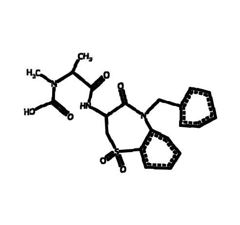 CC(C(=O)NC1CS(=O)(=O)c2ccccc2N(Cc2ccccc2)C1=O)N(C)C(=O)O